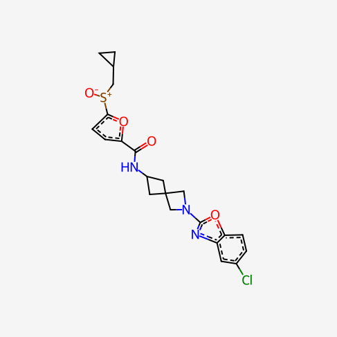 O=C(NC1CC2(C1)CN(c1nc3cc(Cl)ccc3o1)C2)c1ccc([S+]([O-])CC2CC2)o1